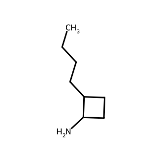 CCCCC1CCC1N